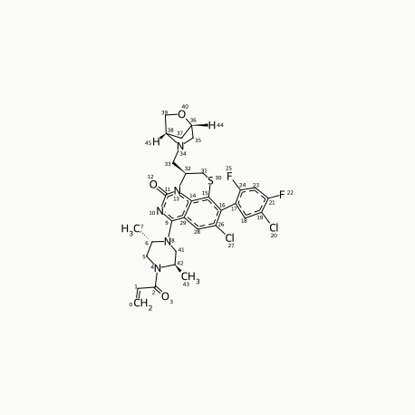 C=CC(=O)N1C[C@H](C)N(c2nc(=O)n3c4c(c(-c5cc(Cl)c(F)cc5F)c(Cl)cc24)SC[C@@H]3CN2C[C@@H]3C[C@H]2CO3)C[C@H]1C